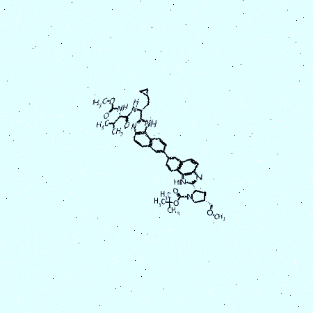 COC[C@H]1C[C@@H](c2nc3ccc4cc(-c5ccc6c(ccc7nc([C@H](CC8CC8)NC(=O)[C@@H](NC(=O)OC)C(C)C)[nH]c76)c5)ccc4c3[nH]2)N(C(=O)OC(C)(C)C)C1